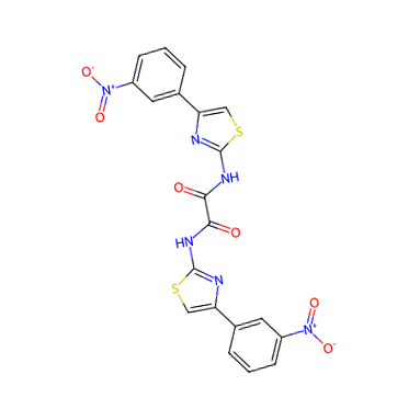 O=C(Nc1nc(-c2cccc([N+](=O)[O-])c2)cs1)C(=O)Nc1nc(-c2cccc([N+](=O)[O-])c2)cs1